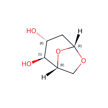 O[C@H]1[C@H](O)C[C@@H]2OC[C@H]1O2